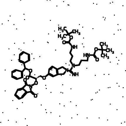 CC(C)(C)OC(=O)NCCCN(CCCNC(=O)OC(C)(C)C)C(=N)N1Cc2ccc(OC[C@H](ON3C(=O)c4ccccc4C3=O)C(=O)OC(c3ccccc3)c3ccccc3)cc2C1